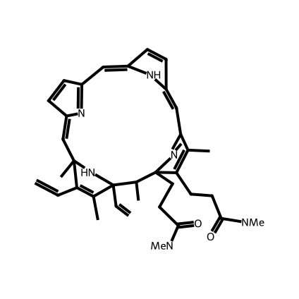 C=CC1=C(C)C2(C=C)NC1(C)C=C1C=CC(=N1)C=c1ccc([nH]1)=CC1=NC(CCC(=O)NC)(C(CCC(=O)NC)=C1C)C2C